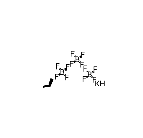 C=CC.F[B-](F)(F)F.F[B-](F)(F)F.F[B-](F)(F)F.[KH]